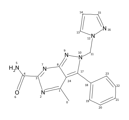 Cc1nc(C(N)=O)nc2nn(Cn3cccn3)c(-c3ccccc3)c12